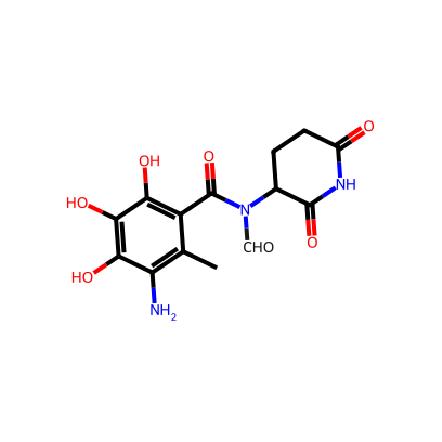 Cc1c(N)c(O)c(O)c(O)c1C(=O)N(C=O)C1CCC(=O)NC1=O